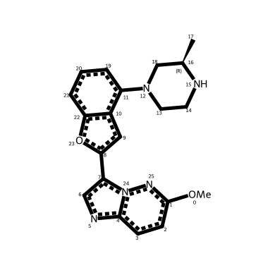 COc1ccc2ncc(-c3cc4c(N5CCN[C@H](C)C5)cccc4o3)n2n1